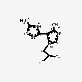 Cc1nnc(-c2c(C)ncn2CC(F)F)[nH]1